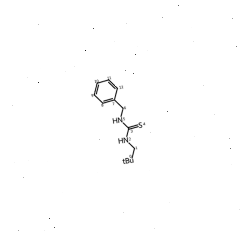 CC(C)(C)CNC(=S)NCc1ccccc1